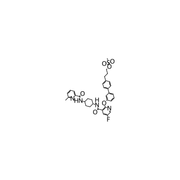 Cc1cccc(C(=O)NC2CCC(NC(=O)c3cc(F)cnc3Oc3cccc(-c4ccc(CCCOS(C)(=O)=O)cc4)c3)CC2)n1